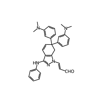 CN(C)c1cccc(C2(c3cccc(N(C)C)c3)C=Cc3c(Nc4ccccc4)nn(C=CC=O)c3C2)c1